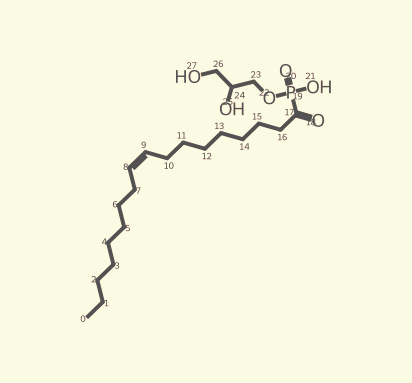 CCCCCCCC/C=C\CCCCCCCC(=O)P(=O)(O)OCC(O)CO